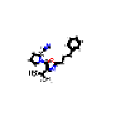 CC(C)c1nc(CCCc2ccccc2)oc1N1CCC[C@H]1C#N